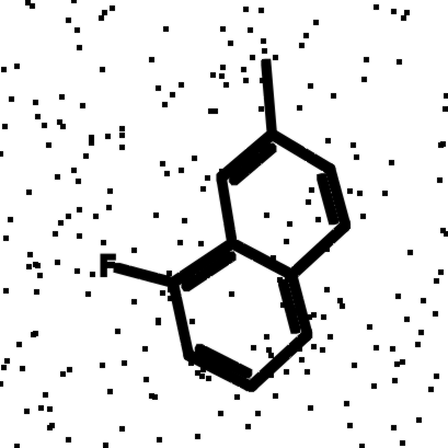 Cc1ccc2cccc(F)c2c1